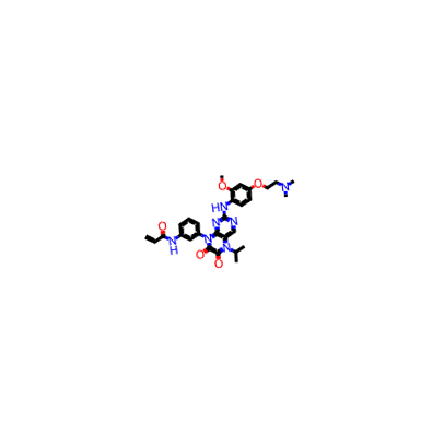 C=CC(=O)Nc1cccc(-n2c(=O)c(=O)n(C(C)C)c3cnc(Nc4ccc(OCCN(C)C)cc4OC)nc32)c1